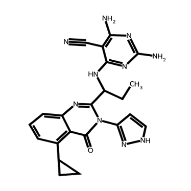 CCC(Nc1nc(N)nc(N)c1C#N)c1nc2cccc(C3CC3)c2c(=O)n1-c1cc[nH]n1